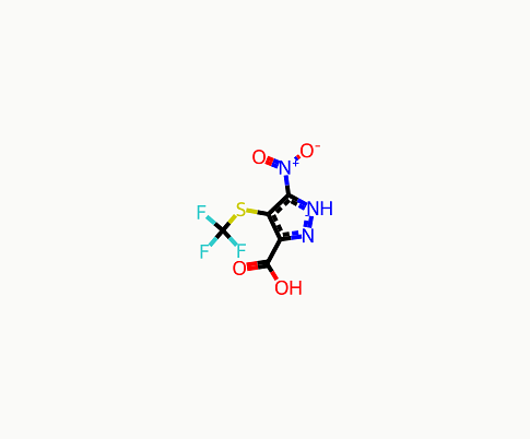 O=C(O)c1n[nH]c([N+](=O)[O-])c1SC(F)(F)F